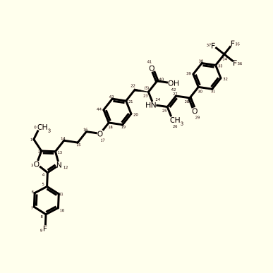 CCc1oc(-c2ccc(F)cc2)nc1CCCOc1ccc(C[C@H](NC(C)=CC(=O)c2ccc(C(F)(F)F)cc2)C(=O)O)cc1